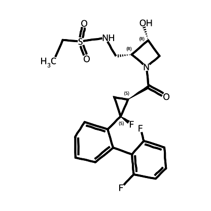 CCS(=O)(=O)NC[C@@H]1[C@H](O)CN1C(=O)[C@@H]1C[C@@]1(F)c1ccccc1-c1c(F)cccc1F